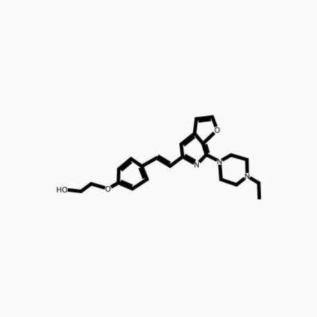 CCN1CCN(c2nc(C=Cc3ccc(OCCO)cc3)cc3ccoc23)CC1